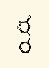 O=c1cc(Sc2ccccc2)cn[nH]1